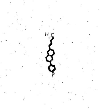 CCCC=CC1CCC2CC(c3ccc(F)cc3)CCC2C1